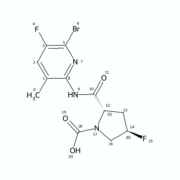 Cc1cc(F)c(Br)nc1NC(=O)[C@@H]1C[C@@H](F)CN1C(=O)O